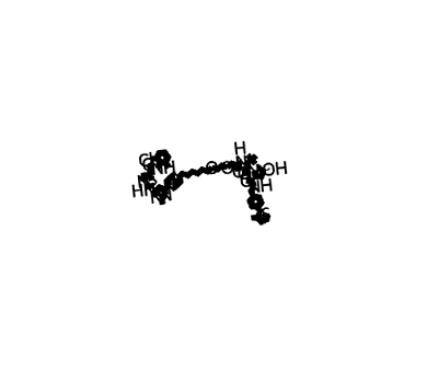 Cc1nc(Nc2ncc(C(=O)Nc3c(C)cccc3Cl)s2)cc(N2CCN(CCCCCCOCCOCC(=O)N[C@H](C(=O)N3C[C@H](O)C[C@H]3C(=O)NCc3ccc(-c4sccc4C)cc3)C(C)(C)C)CC2)n1